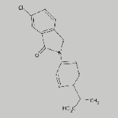 CC(C(=O)O)C1C=CC(N2Cc3ccc(Cl)cc3C2=O)=CC1